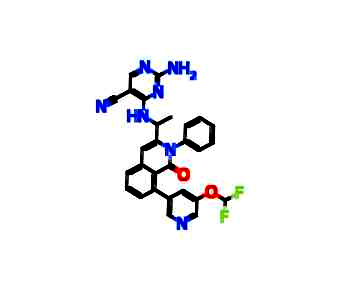 CC(Nc1nc(N)ncc1C#N)c1cc2cccc(-c3cncc(OC(F)F)c3)c2c(=O)n1-c1ccccc1